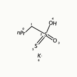 CCCCS(=O)(O)=S.[K]